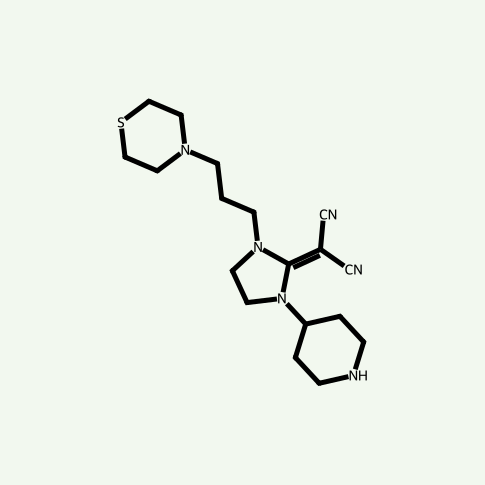 N#CC(C#N)=C1N(CCCN2CCSCC2)CCN1C1CCNCC1